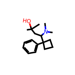 CN(C)C(CC(C)(C)O)C1(c2ccccc2)CCC1